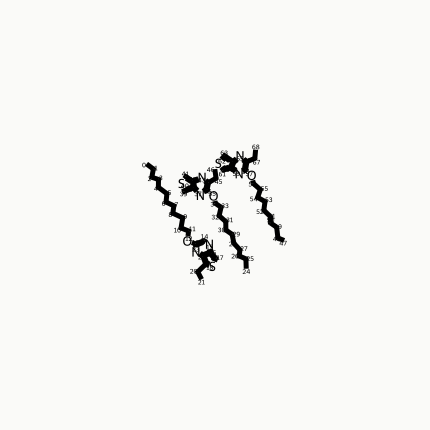 CCCCCCCCCCCCOc1cnc2csc(CC)c2n1.CCCCCCCCCCCOc1nc2cscc2nc1CC.CCCCCCCCCCOc1nc2cscc2nc1CC